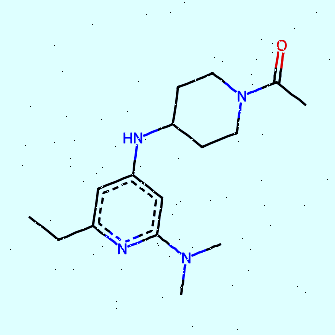 CCc1cc(NC2CCN(C(C)=O)CC2)cc(N(C)C)n1